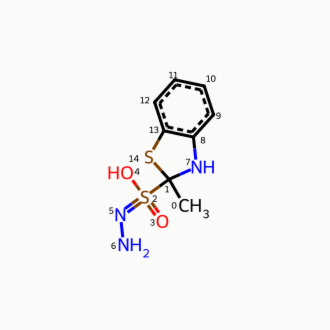 CC1(S(=O)(O)=NN)Nc2ccccc2S1